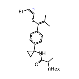 CC/C=C\SC(=C(C)C)c1ccc(C2(NC(=O)C(C)CCCCCC)CC2)cc1